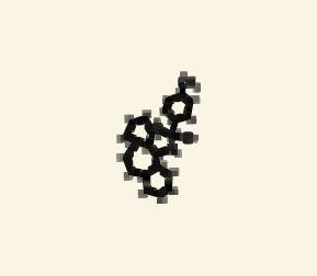 Cc1ccc(S(=O)(=O)N=c2c3ccccc3ccc3ccccc23)cc1